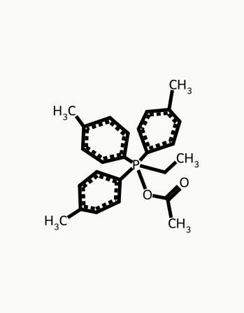 CCP(OC(C)=O)(c1ccc(C)cc1)(c1ccc(C)cc1)c1ccc(C)cc1